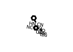 COc1cc(C#N)c(NCC2CCCCC2)c(C#N)c1OC(=O)OC(C)(C)C